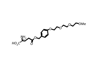 COCCOCCOCCOc1ccc(COC(=O)CC[C@H](N)C(=O)O)cc1